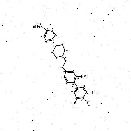 CCCCCCc1ccc([C@H]2CC[C@H](CCc3ccc(-c4cc(F)c(Cl)c(F)c4)c(F)c3)CC2)cc1